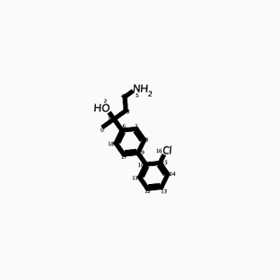 CC(O)(CCN)c1ccc(-c2ccccc2Cl)cc1